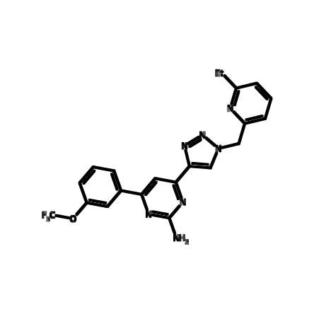 CCc1cccc(Cn2cc(-c3cc(-c4cccc(OC(F)(F)F)c4)nc(N)n3)nn2)n1